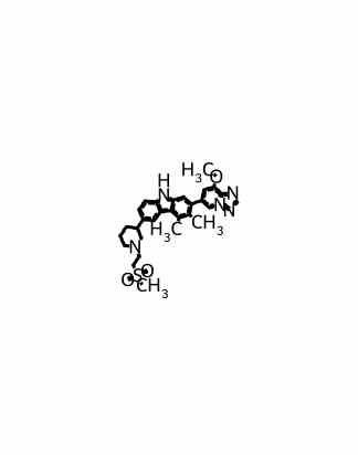 COc1cc(-c2cc3[nH]c4ccc(C5CCCN(CCS(C)(=O)=O)C5)cc4c3c(C)c2C)cn2ncnc12